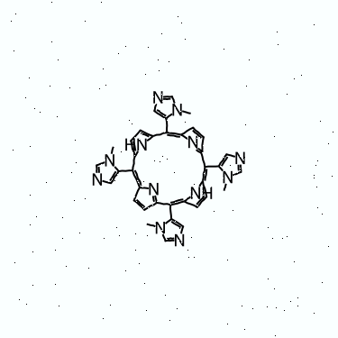 Cn1cncc1-c1c2nc(c(-c3cncn3C)c3ccc([nH]3)c(-c3cncn3C)c3nc(c(-c4cncn4C)c4ccc1[nH]4)C=C3)C=C2